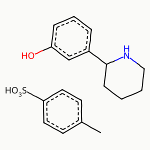 Cc1ccc(S(=O)(=O)O)cc1.Oc1cccc(C2CCCCN2)c1